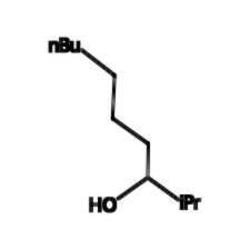 CCCCCCCC(O)C(C)C